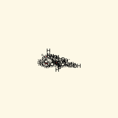 CC(C)Oc1ccccc1[C@H]1CCCCN1CC1CCN(c2ccc(C(=O)NS(=O)(=O)c3ccc(NC[C@H]4CC[C@](C)(O)CC4)c([N+](=O)[O-])c3)c(N3c4cc5cc[nH]c5nc4O[C@H]4COCC[C@@H]43)c2)CC1